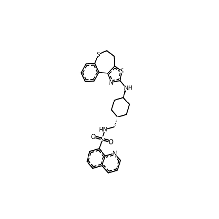 O=S(=O)(NC[C@H]1CC[C@H](Nc2nc3c(s2)CCSc2ccccc2-3)CC1)c1cccc2cccnc12